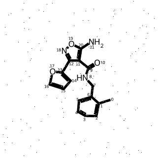 Cc1ccccc1CNC(=O)c1c(-c2ccco2)noc1N